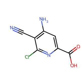 N#Cc1c(N)cc(C(=O)O)nc1Cl